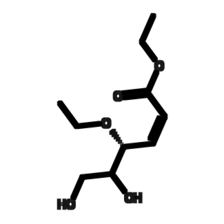 CCOC(=O)/C=C\[C@@H](OCC)C(O)CO